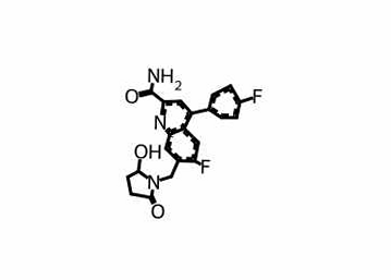 NC(=O)c1cc(-c2ccc(F)cc2)c2cc(F)c(CN3C(=O)CCC3O)cc2n1